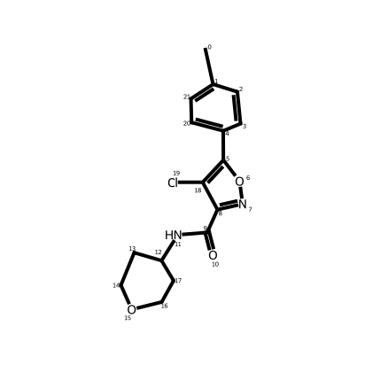 Cc1ccc(-c2onc(C(=O)NC3CCOCC3)c2Cl)cc1